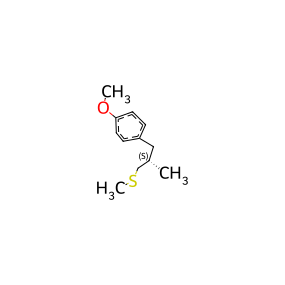 COc1ccc(C[C@H](C)CSC)cc1